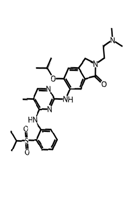 Cc1cnc(Nc2cc3c(cc2OC(C)C)CN(CCN(C)C)C3=O)nc1Nc1ccccc1S(=O)(=O)C(C)C